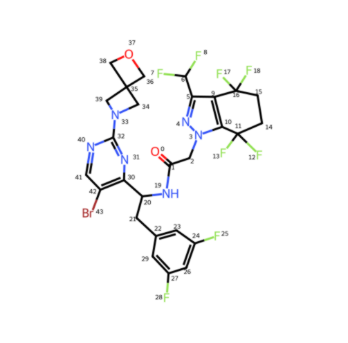 O=C(Cn1nc(C(F)F)c2c1C(F)(F)CCC2(F)F)NC(Cc1cc(F)cc(F)c1)c1nc(N2CC3(COC3)C2)ncc1Br